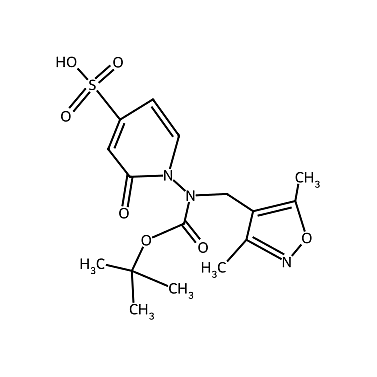 Cc1noc(C)c1CN(C(=O)OC(C)(C)C)n1ccc(S(=O)(=O)O)cc1=O